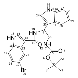 CC(C)(C)OC(=O)NCC(NC(=O)c1c[nH]c2ccc(Br)cc12)c1c[nH]c2ccccc12